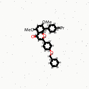 COc1cc(OC)c2c(=O)cc(-c3ccc(OCc4ccccc4)cc3)oc2c1-c1ccc(C(C)C)cc1